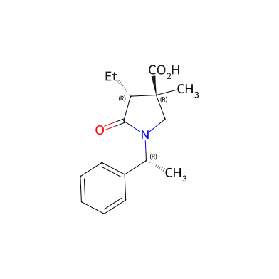 CC[C@H]1C(=O)N([C@H](C)c2ccccc2)C[C@]1(C)C(=O)O